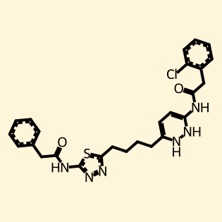 O=C(Cc1ccccc1Cl)NC1=CC=C(CCCCc2nnc(NC(=O)Cc3ccccc3)s2)NN1